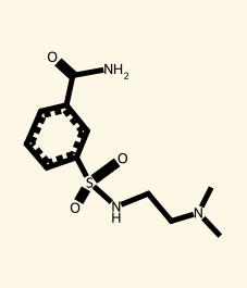 CN(C)CCNS(=O)(=O)c1cccc(C(N)=O)c1